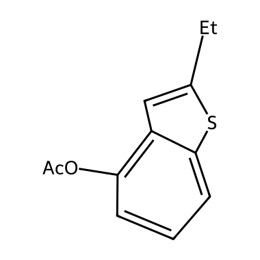 CCc1cc2c(OC(C)=O)cccc2s1